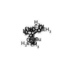 Cc1ccn2c(-c3ccc(NC(=O)C(C)N(C)C(=O)OC(C)(C)C)nc3C#Cc3ccc4c(C)nccc4c3)c(-c3cccnc3C)nc2c1